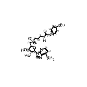 CC(C)(C)c1ccc(NC(=O)NCCCS(=O)(=O)C[C@H]2O[C@@H](n3cnc4c(N)ccnc43)[C@H](O)[C@@H]2O)cc1